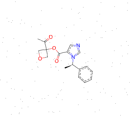 CC(=O)C1(OC(=O)c2cncn2[C@H](C)c2ccccc2)COC1